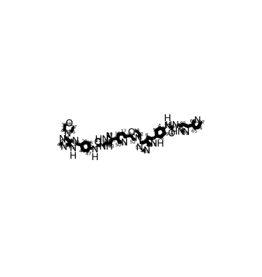 O=C(Nc1ccc(-c2cc3c(N4CCOC(c5ccc(-c6cc(NC(=O)Nc7ccc(-c8nc9c(N%10CCOCC%10)ncnc9[nH]8)cc7)[nH]n6)cn5)C4)ncnc3[nH]2)cc1)Nc1cc(-c2cccnc2)n[nH]1